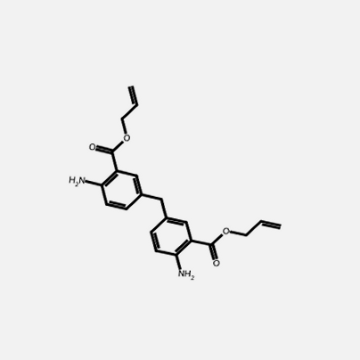 C=CCOC(=O)c1cc(Cc2ccc(N)c(C(=O)OCC=C)c2)ccc1N